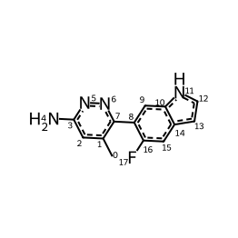 Cc1cc(N)nnc1-c1cc2[nH]ccc2cc1F